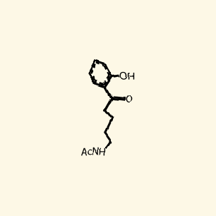 CC(=O)NCCCCC(=O)c1ccccc1O